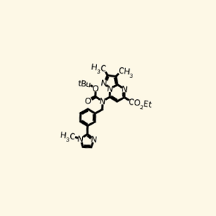 CCOC(=O)c1cc(N(Cc2cccc(-c3nccn3C)c2)C(=O)OC(C)(C)C)n2nc(C)c(C)c2n1